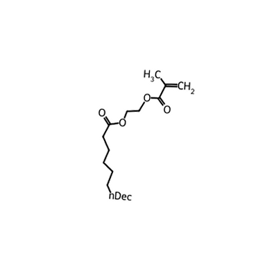 C=C(C)C(=O)OCCOC(=O)CCCCCCCCCCCCCCC